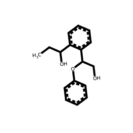 CCC(O)c1ccccc1C(CO)Oc1ccccc1